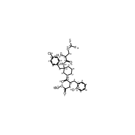 CC(C)(C)OC(=O)CC(Cc1cccc[n+]1[O-])C(=O)N1CCCC(Cc2ccc(Cl)cc2)(NC(=O)C(N)COC(F)F)C1